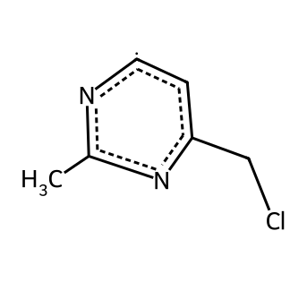 Cc1n[c]cc(CCl)n1